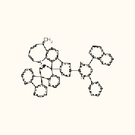 C=C1/C=C\C=C/Sc2c1ccc1c2C2(c3ccc(-c4nc(-c5ccccc5)cc(-c5cccc6ccccc56)n4)cc3-1)c1ccccc1C1(c3ccccc3-c3ccccc31)c1ccccc12